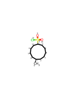 C[C@@H]1CCCCC[C@H](S(=O)(=O)Cl)CCCC1